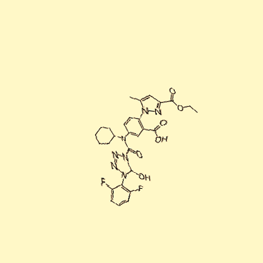 CCOC(=O)c1cc(C)n(-c2ccc(N(C(=O)N3N=NN(c4c(F)cccc4F)C3O)C3CCCCC3)cc2C(=O)O)n1